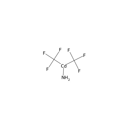 [NH2][Cd]([C](F)(F)F)[C](F)(F)F